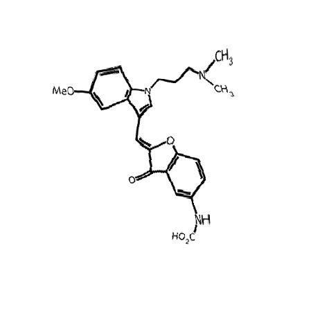 COc1ccc2c(c1)c(/C=C1\Oc3ccc(NC(=O)O)cc3C1=O)cn2CCCN(C)C